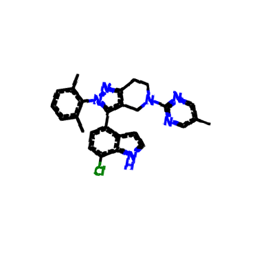 Cc1cnc(N2CCc3nn(-c4c(C)cccc4C)c(-c4ccc(Cl)c5[nH]ccc45)c3C2)nc1